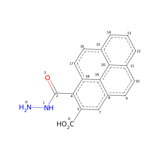 NNC(=O)c1c(C(=O)O)cc2ccc3cccc4ccc1c2c34